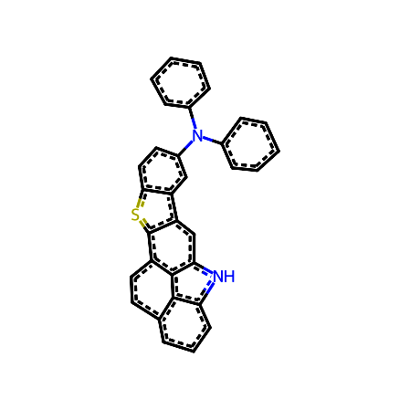 c1ccc(N(c2ccccc2)c2ccc3sc4c(cc5[nH]c6cccc7ccc4c5c76)c3c2)cc1